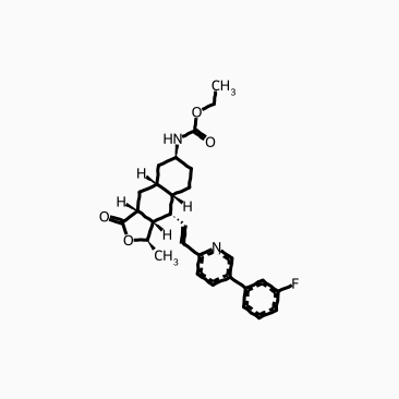 CCOC(=O)N[C@H]1CC[C@H]2[C@@H](C1)C[C@H]1C(=O)O[C@H](C)[C@H]1[C@H]2/C=C/c1ccc(-c2cccc(F)c2)cn1